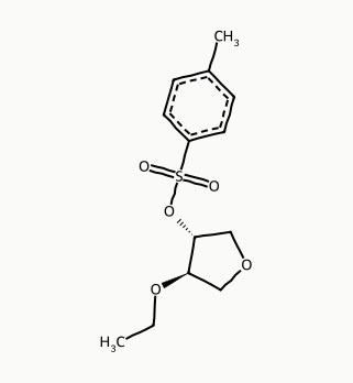 CCO[C@@H]1COC[C@H]1OS(=O)(=O)c1ccc(C)cc1